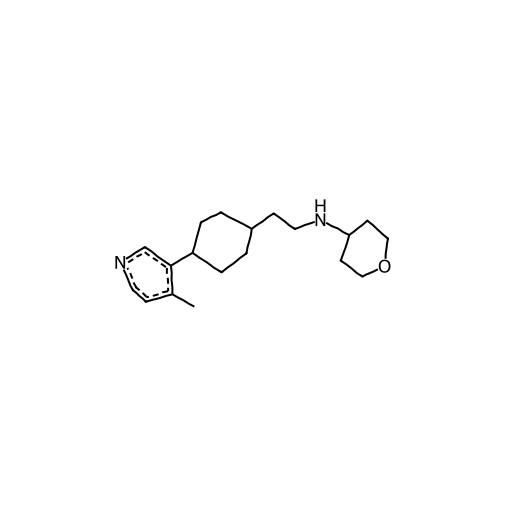 Cc1ccncc1C1CCC(CCNC2CCOCC2)CC1